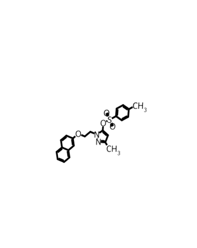 Cc1ccc(S(=O)(=O)Oc2cc(C)nn2CCOc2ccc3ccccc3c2)cc1